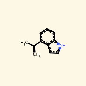 C=C(C)c1cccc2[nH]ccc12